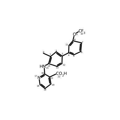 Cc1cc(-c2cccc(OC(F)(F)F)c2)ccc1Nc1ncccc1C(=O)O